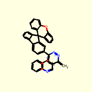 C=C(/N=N\C(=C(/C)c1ccccc1)c1ccc2c(c1)C1(c3ccccc3Oc3ccccc31)c1ccccc1-2)c1cccnc1